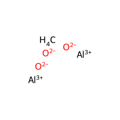 C.[Al+3].[Al+3].[O-2].[O-2].[O-2]